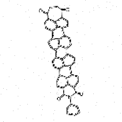 O=C1C=CC(=O)c2ccc3c4ccc5c6ccc7c8ccc9c%10c(ccc(c%11ccc(c%12ccc(c%13ccc1c2c%133)c4c%125)c6c%117)c%108)C(=O)N(c1ccccc1)C9=O